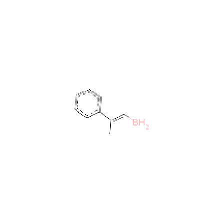 BC=C(C)c1ccccc1